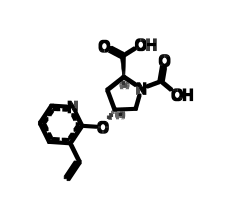 C=Cc1cccnc1O[C@@H]1C[C@@H](C(=O)O)N(C(=O)O)C1